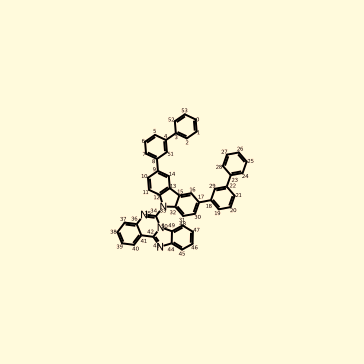 c1ccc(-c2cccc(-c3ccc4c(c3)c3cc(-c5cccc(-c6ccccc6)c5)ccc3n4-c3nc4ccccc4c4nc5ccccc5n34)c2)cc1